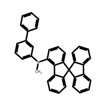 CN(c1cccc(-c2ccccc2)c1)c1cccc2c1-c1ccccc1C21c2ccccc2-c2ccccc21